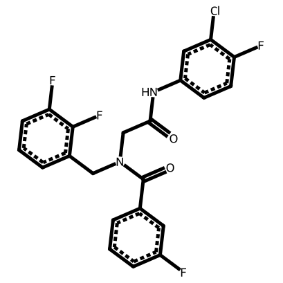 O=C(CN(Cc1cccc(F)c1F)C(=O)c1cccc(F)c1)Nc1ccc(F)c(Cl)c1